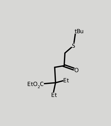 CCOC(=O)C(CC)(CC)CC(=O)CSC(C)(C)C